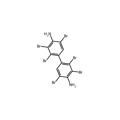 Nc1c(Br)cc(-c2cc(Br)c(N)c(Br)c2Br)c(Br)c1Br